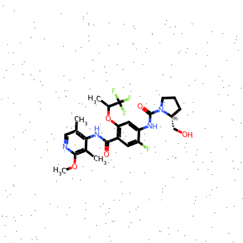 COc1ncc(C)c(NC(=O)c2cc(F)c(NC(=O)N3CCC[C@@H]3CO)cc2OC(C)C(F)(F)F)c1C